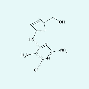 Nc1nc(Cl)c(N)c(NC2C=CC(CO)C2)n1